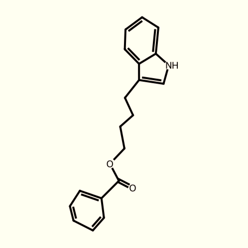 O=C(OCCCCc1c[nH]c2ccccc12)c1ccccc1